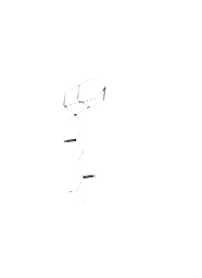 CC(F)C(=O)OCC(=O)OC1(C)C2CC3CC(C2)CC1C3